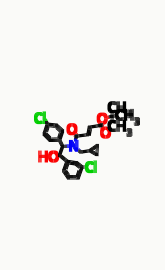 CC(C)(C)OC(=O)C=CC(=O)N(CC1CC1)[C@H](c1ccc(Cl)cc1)[C@H](O)c1cccc(Cl)c1